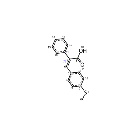 CSc1ccc(/C=C(\C(=O)O)c2ccccc2)cc1